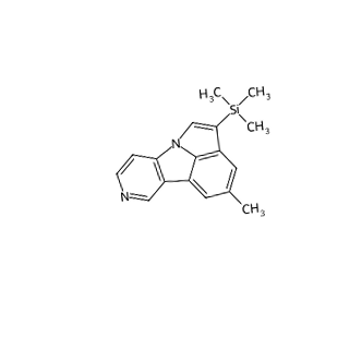 Cc1cc2c([Si](C)(C)C)cn3c4ccncc4c(c1)c23